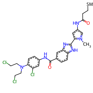 CSCCC(=O)Nc1cc(-c2nc3cc(C(=O)Nc4ccc(N(CCCl)CCCl)c(Cl)c4)ccc3[nH]2)n(C)c1